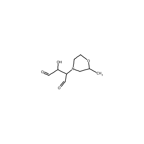 CC1CN(C(C=O)C(O)C=O)CCO1